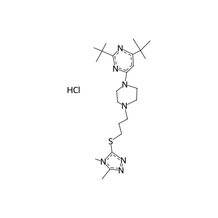 Cc1nnc(SCCCN2CCN(c3cc(C(C)(C)C)nc(C(C)(C)C)n3)CC2)n1C.Cl